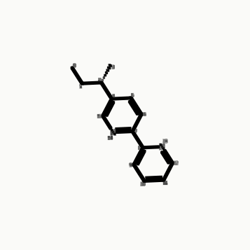 CC[C@H](C)c1ccc(-c2ccccn2)nc1